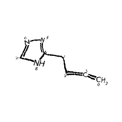 C=C=CCc1nnc[nH]1